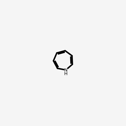 C1=CC=CNC=C1